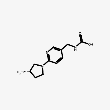 C[C@H]1CCN(c2ccc(CNC(=O)O)cn2)C1